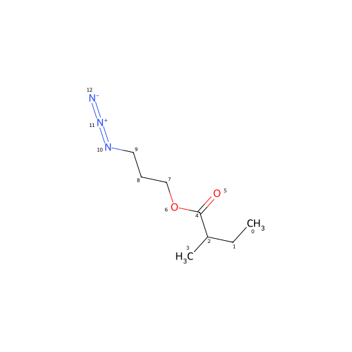 CCC(C)C(=O)OCCCN=[N+]=[N-]